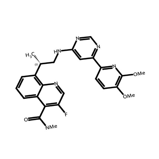 CNC(=O)c1c(F)cnc2c([C@H](C)CNc3cc(-c4ccc(OC)c(OC)n4)ncn3)cccc12